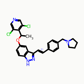 CC(Oc1ccc2[nH]nc(/C=C/c3ccc(CN4CCCC4)cc3)c2c1)c1c(Cl)cncc1Cl